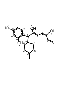 C=C/C(O)=C\C=C(/O)C(c1ccc(O)cc1O)C1CCC(C)CC1